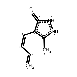 C=C/C=C\c1c(C)[nH][nH]c1=O